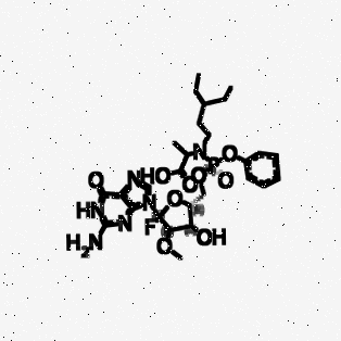 CCC(CC)CCN(C(C)C(=O)O)[P@@](=O)(OC[C@H]1O[C@@](F)(n2cnc3c(=O)[nH]c(N)nc32)[C@H](OC)[C@@H]1O)Oc1ccccc1